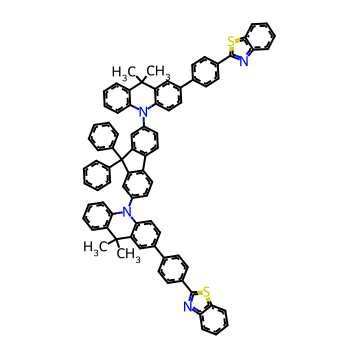 CC1(C)c2ccccc2N(c2ccc3c(c2)C(c2ccccc2)(c2ccccc2)c2cc(N4c5ccccc5C(C)(C)c5cc(-c6ccc(-c7nc8ccccc8s7)cc6)ccc54)ccc2-3)c2ccc(-c3ccc(-c4nc5ccccc5s4)cc3)cc21